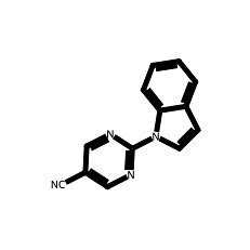 N#Cc1cnc(-n2ccc3ccccc32)nc1